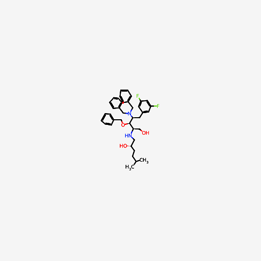 CC(C)CC[C@H](O)CN[C@H](CO)[C@@H](OCc1ccccc1)[C@H](Cc1cc(F)cc(F)c1)N(Cc1ccccc1)Cc1ccccc1